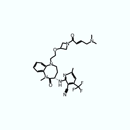 Cc1cc(C(F)(F)F)c(C#N)c(N[C@H]2CCN(CCOC3CN(C(=O)/C=C/CN(C)C)C3)c3ccccc3N(C)C2=O)n1